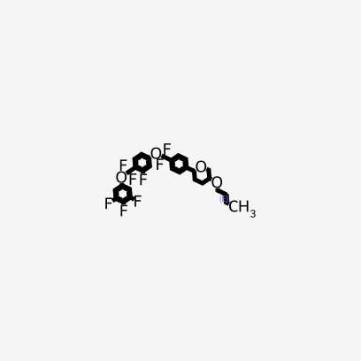 C/C=C/COC1CCC(c2ccc(C(F)(F)Oc3ccc(C(F)(F)Oc4cc(F)c(F)c(F)c4)c(F)c3)cc2)OC1